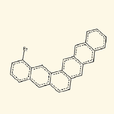 CCc1cccc2cc3ccc4cc5cc6ccccc6cc5cc4c3cc12